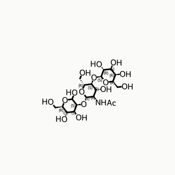 CC(=O)N[C@H]1[C@H](O[C@@H]2C(O)O[C@H](CO)[C@@H](O)[C@@H]2O)O[C@H](CO)[C@@H](O[C@@H]2O[C@H](CO)[C@H](O)[C@H](O)[C@H]2O)[C@@H]1O